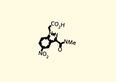 CNC(=O)c1nn(CC(=O)O)c2ccc([N+](=O)[O-])cc12